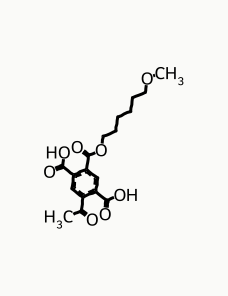 COCCCCCCOC(=O)c1cc(C(=O)O)c(C(C)=O)cc1C(=O)O